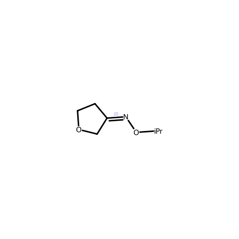 CC(C)O/N=C1/CCOC1